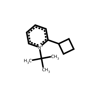 CC(C)(C)[n+]1ccccc1C1CCC1